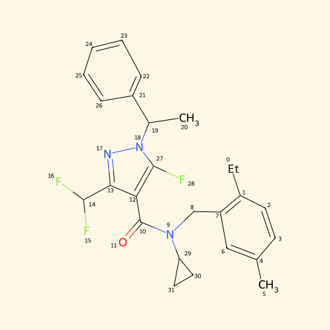 CCc1ccc(C)cc1CN(C(=O)c1c(C(F)F)nn(C(C)c2ccccc2)c1F)C1CC1